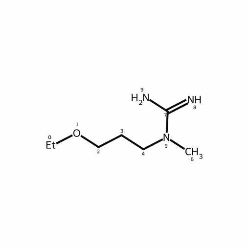 CCOCCCN(C)C(=N)N